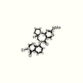 CCn1cnc2c(N3C[C@@H]4CCCN4c4nc(NC)ncc4C3=O)cccc2c1=O